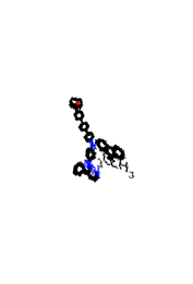 CC1(C)c2ccccc2-c2ccc(N(c3ccc(-c4ccc(-c5ccc(C67CC8CC(CC(C8)C6)C7)cc5)cc4)cc3)c3ccc(-n4c5ccccc5c5cccnc54)cc3)cc21